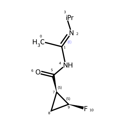 C/C(=N\C(C)C)NC(=O)[C@@H]1C[C@@H]1F